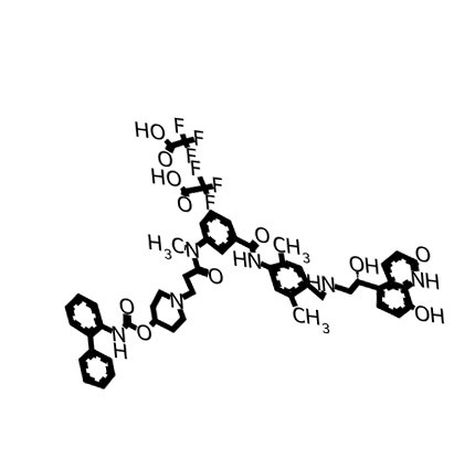 Cc1cc(NC(=O)c2cccc(N(C)C(=O)CCN3CCC(OC(=O)Nc4ccccc4-c4ccccc4)CC3)c2)c(C)cc1CNC[C@H](O)c1ccc(O)c2[nH]c(=O)ccc12.O=C(O)C(F)(F)F.O=C(O)C(F)(F)F